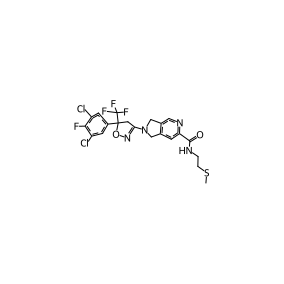 CSCCNC(=O)c1cc2c(cn1)CN(C1=NOC(c3cc(Cl)c(F)c(Cl)c3)(C(F)(F)F)C1)C2